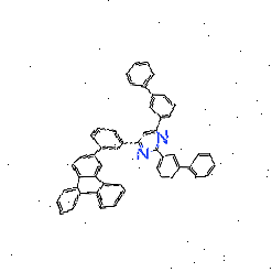 C1=C(c2ccccc2)CCC=C1c1nc(-c2cccc(-c3ccccc3)c2)cc(-c2cccc(-c3ccc4c5ccccc5c5ccccc5c4c3)c2)n1